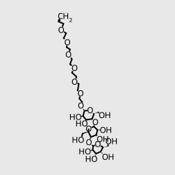 C=CCOCCOCCOCCOCCOCCOCCO[C@@H]1O[C@H](CO)[C@@H](O[C@@H]2O[C@H](CO)[C@H](O[C@H]3O[C@H](CO)[C@H](O)[C@H](O)[C@H]3O)[C@H](O)[C@H]2O)[C@H](O)[C@H]1O